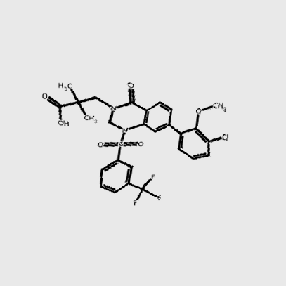 COc1c(Cl)cccc1-c1ccc2c(c1)N(S(=O)(=O)c1cccc(C(F)(F)F)c1)CN(CC(C)(C)C(=O)O)C2=O